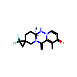 C=C1c2c(C)c(=O)ccn2N[C@@H]2CCC3(CN12)CC3(F)F